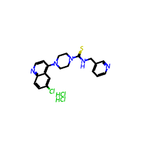 Cl.Cl.S=C(NCc1cccnc1)N1CCN(c2ccnc3ccc(Cl)cc23)CC1